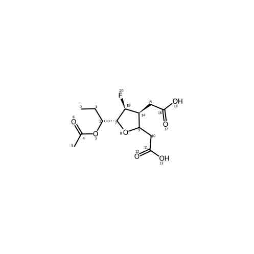 CCC(OC(C)=O)[C@H]1OC(CC(=O)O)[C@H](CC(=O)O)[C@@H]1F